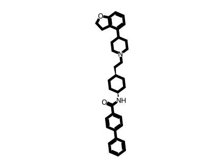 O=C(N[C@H]1CC[C@H](CCN2CCC(c3cccc4c3CCO4)CC2)CC1)c1ccc(-c2ccccc2)cc1